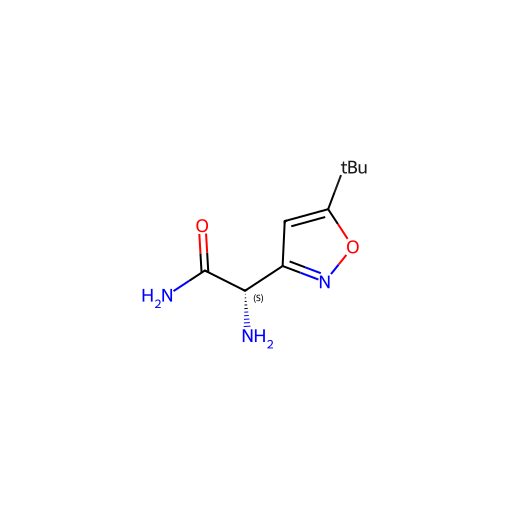 CC(C)(C)c1cc([C@H](N)C(N)=O)no1